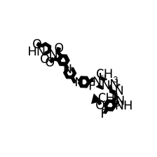 C[C@H]1CN(c2cc(-c3n[nH]c4cc(F)c(OC5(C)CC5)cc34)ncn2)CCN1CC1(F)CCN(CC2CCN(c3ccc4c(c3)C(=O)N(C3CCC(=O)NC3=O)C4=O)CC2)CC1